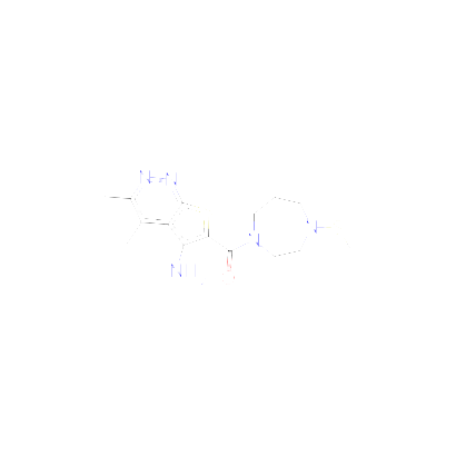 CSN1CCCN(C(=O)c2sc3nnc(C)c(C)c3c2N)CC1